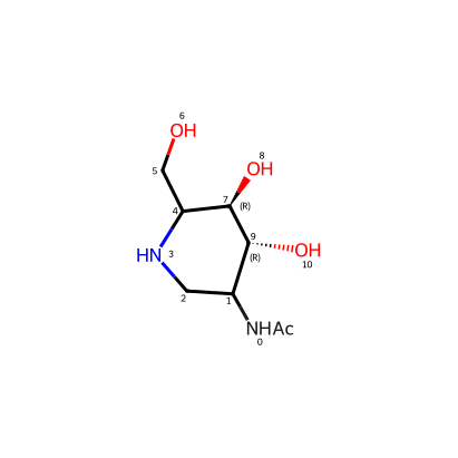 CC(=O)NC1CNC(CO)[C@@H](O)[C@@H]1O